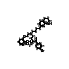 Cc1ncccc1OCCN(CCCCc1ccc2c(n1)NCCC2)CCC(Nc1ncc(Br)cn1)C(=O)O